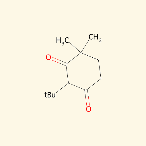 CC1(C)CCC(=O)C(C(C)(C)C)C1=O